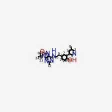 Cc1cncc(-c2cc(CCNc3nc(C)nc4c3nc3n4C(C)(C)CO3)ccc2O)c1